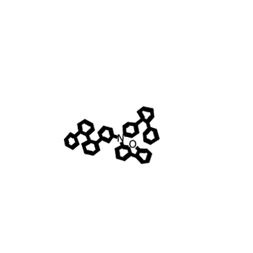 c1ccc(-c2ccccc2-c2ccc(N(c3cccc(-c4ccccc4-c4ccccc4-c4ccccc4)c3)c3cccc4c3oc3ccccc34)cc2)cc1